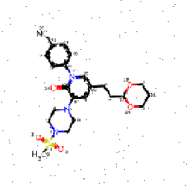 CS(=O)(=O)N1CCN(c2cc(CCC3OCCCO3)cn(-c3ccc(C#N)cc3)c2=O)CC1